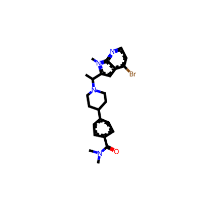 CC(c1cc2c(Br)ccnc2n1C)N1CCC(c2ccc(C(=O)N(C)C)cc2)CC1